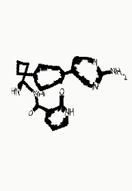 N=C(NC(=O)c1ccc[nH]c1=O)C1(c2ccc(-c3cnc(N)nc3)cc2)CCC1